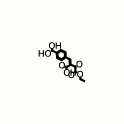 CCOC(=O)C(=O)C(=Cc1ccc(C(O)O)cc1)C(=O)O